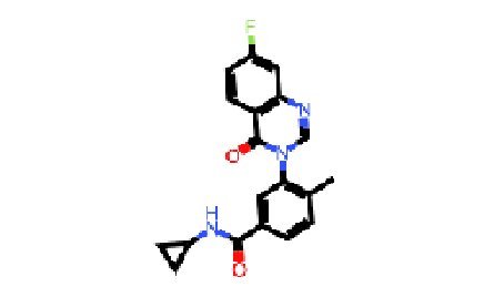 Cc1ccc(C(=O)NC2CC2)cc1-n1cnc2cc(F)ccc2c1=O